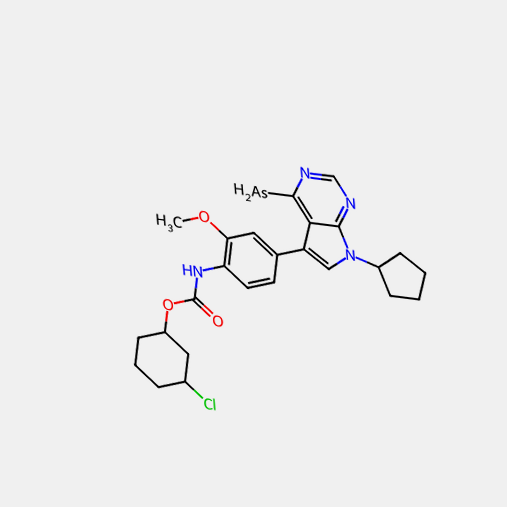 COc1cc(-c2cn(C3CCCC3)c3ncnc([AsH2])c23)ccc1NC(=O)OC1CCCC(Cl)C1